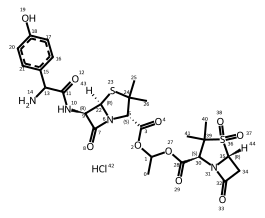 CC(OC(=O)[C@@H]1N2C(=O)[C@@H](NC(=O)C(N)c3ccc(O)cc3)[C@H]2SC1(C)C)OC(=O)[C@@H]1N2C(=O)C[C@H]2S(=O)(=O)C1(C)C.Cl